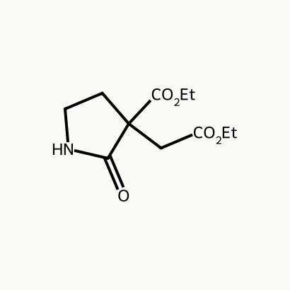 CCOC(=O)CC1(C(=O)OCC)CCNC1=O